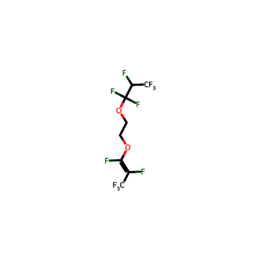 F/C(OCCOC(F)(F)C(F)C(F)(F)F)=C(/F)C(F)(F)F